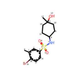 Cc1cc(S(=O)(=O)NC2CCC(C)(O)CC2)ccc1Br